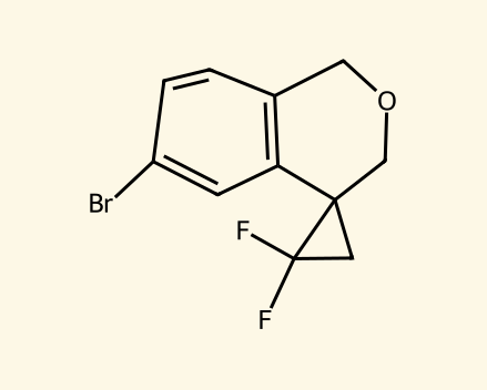 FC1(F)CC12COCc1ccc(Br)cc12